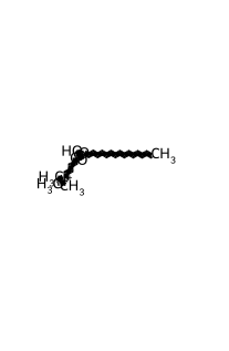 CCCCCCCCCCCCCCCCOP(=O)(O)OCCCCC[N+](C)(C)C